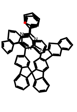 c1ccc(-c2nc(-c3ccccc3)nc(-n3c4cc5c(cc4c4cc6ccccc6cc43)-c3ccccc3C53c4ccccc4-c4ccc(-c5c6ccccc6c(-c6ccccc6)c6ccccc56)cc43)n2)cc1